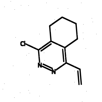 C=Cc1nnc(Cl)c2c1CCCC2